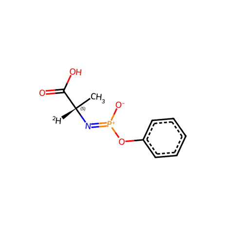 [2H][C@@](C)(N=[P+]([O-])Oc1ccccc1)C(=O)O